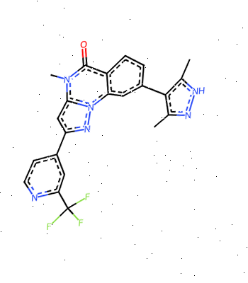 Cc1n[nH]c(C)c1-c1ccc2c(=O)n(C)c3cc(-c4ccnc(C(F)(F)F)c4)nn3c2c1